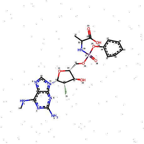 CNc1nc(N)nc2c1ncn2[C@@H]1O[C@H](COP(=O)(NC(C)C(=O)O)Oc2ccccc2)[C@@H](O)[C@@H]1F